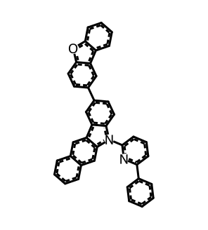 c1ccc(-c2cccc(-n3c4ccc(-c5ccc6oc7ccccc7c6c5)cc4c4cc5ccccc5cc43)n2)cc1